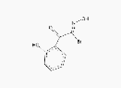 O=C(/C(Br)=N/O)c1ccccc1O